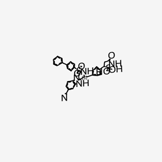 N#Cc1ccc2nc([C@H](Cc3ccc(C4CC(=O)NS4(O)O)cc3)NS(=O)(=O)c3ccc(-c4ccccc4)cc3)[nH]c2c1